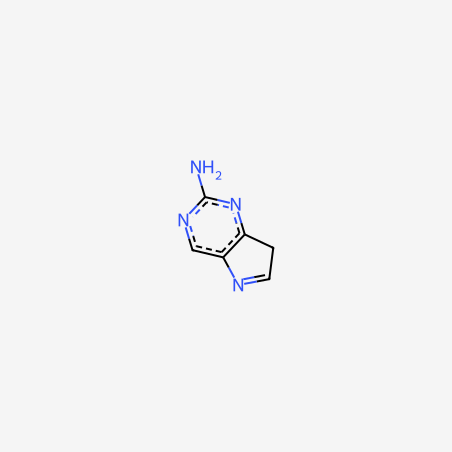 Nc1ncc2c(n1)CC=N2